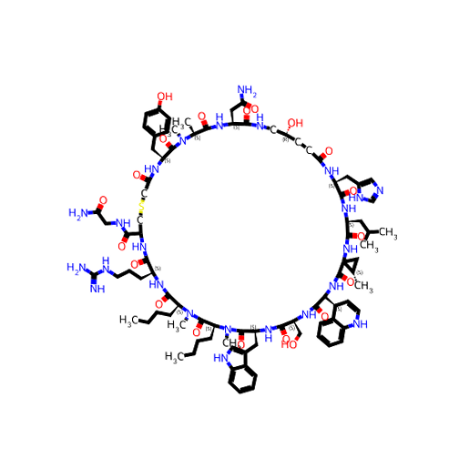 CCCC[C@H]1C(=O)N(C)[C@@H](CCCC)C(=O)N[C@@H](CCCNC(=N)N)C(=O)NC(C(=O)NCC(N)=O)CSCC(=O)N[C@@H](Cc2ccc(O)cc2)C(=O)N(C)[C@@H](C)C(=O)N[C@@H](CC(N)=O)C(=O)NC[C@H](O)CCC(=O)N[C@@H](Cc2cnc[nH]2)C(=O)N[C@@H](CC(C)C)C(=O)NC2(C[C@@H]2C)C(=O)NC([C@H]2C=CNc3ccccc32)C(=O)N[C@@H](CO)C(=O)N[C@@H](Cc2c[nH]c3ccccc23)C(=O)N1C